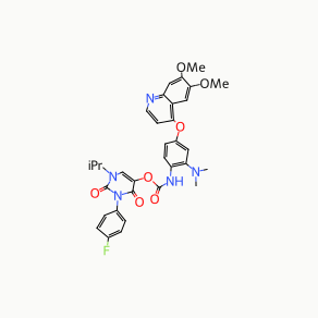 COc1cc2nccc(Oc3ccc(NC(=O)Oc4cn(C(C)C)c(=O)n(-c5ccc(F)cc5)c4=O)c(N(C)C)c3)c2cc1OC